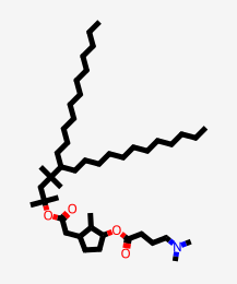 CCCCCCCCCCCCC(CCCCCCCCCCCC)C(C)(C)CC(C)(C)OC(=O)CC1CCC(OC(=O)CCCN(C)C)C1C